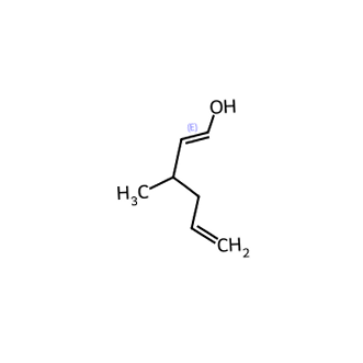 C=CCC(C)/C=C/O